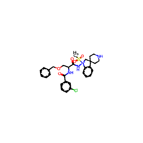 CS(=O)(=O)[N+]1(NC(=O)C(COCc2ccccc2)NC(=O)c2cccc(Cl)c2)CC2(CCNCC2)c2ccccc21